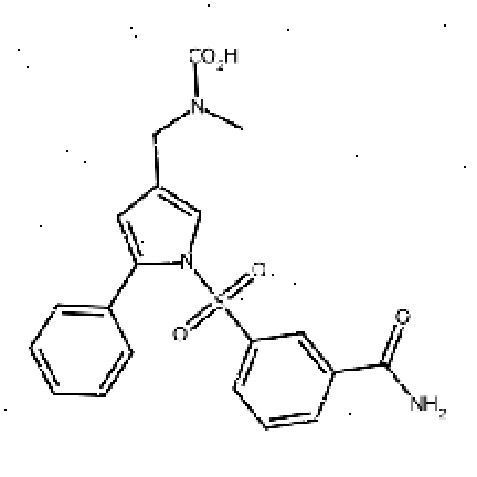 CN(Cc1cc(-c2ccccc2)n(S(=O)(=O)c2cccc(C(N)=O)c2)c1)C(=O)O